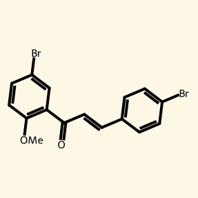 COc1ccc(Br)cc1C(=O)C=Cc1ccc(Br)cc1